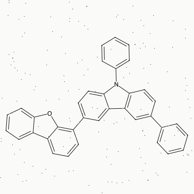 c1ccc(-c2ccc3c(c2)c2cc(-c4cccc5c4oc4ccccc45)ccc2n3-c2ccccc2)cc1